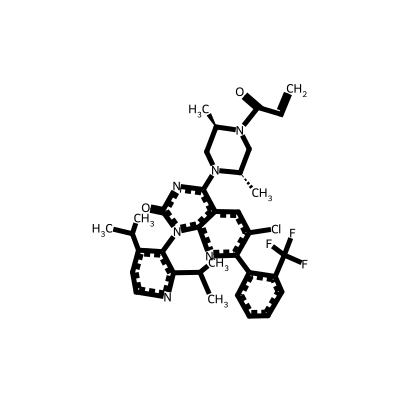 C=CC(=O)N1C[C@H](C)N(c2nc(=O)n(-c3c(C(C)C)ccnc3C(C)C)c3nc(-c4ccccc4C(F)(F)F)c(Cl)cc23)C[C@H]1C